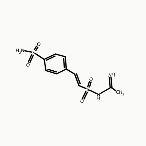 CC(=N)NS(=O)(=O)/C=C/c1ccc(S(N)(=O)=O)cc1